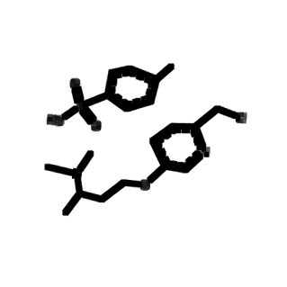 CC(CCOc1ccc(CCl)nc1)N(C)C.Cc1ccc(S(=O)(=O)O)cc1